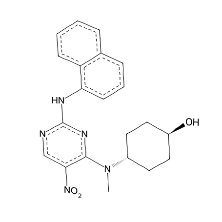 CN(c1nc(Nc2cccc3ccccc23)ncc1[N+](=O)[O-])[C@H]1CC[C@H](O)CC1